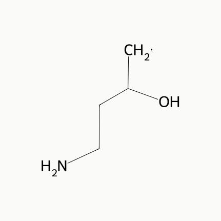 [CH2]C(O)CCN